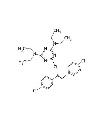 CCN(CC)c1nc(Cl)nc(N(CC)CC)n1.Clc1ccc(CSc2ccc(Cl)cc2)cc1